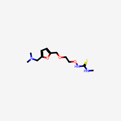 CNC(=S)NOCCOCc1ccc(CN(C)C)o1